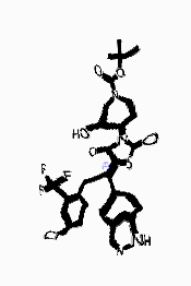 CC(C)(C)OC(=O)N1CCC(N2C(=O)S/C(=C(/Cc3ccc(Cl)cc3C(F)(F)F)c3ccc4[nH]ncc4c3)C2=O)C(O)C1